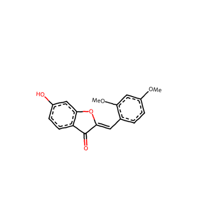 COc1ccc(/C=C2\Oc3cc(O)ccc3C2=O)c(OC)c1